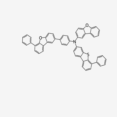 c1ccc(-c2cccc3c2oc2ccc(-c4ccc(N(c5ccc6c(c5)sc5c(-c7ccccc7)cccc56)c5ccc6oc7ccccc7c6c5)cc4)cc23)cc1